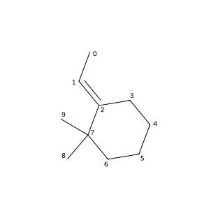 CC=C1CCCCC1(C)C